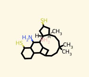 BC12C(N)C3C(S)CCCC3C3C(CCC(C)(C)CC[C@]4(C)CC(S)C[C@@H]14)CC32